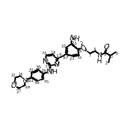 CC(C)C(=O)NCCOc1ccc(-c2ccnc(Nc3ccc(N4CCOCC4)cc3)n2)cc1N